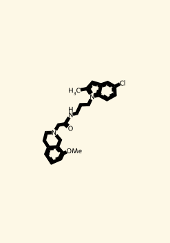 COc1cccc2c1CN(CC(=O)NCCCn1c(C)cc3cc(Cl)ccc31)CC2